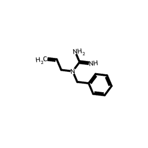 C=CCN(Cc1ccccc1)C(=N)N